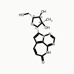 C[C@@]1(O)[C@H](O)[C@@H](CO)O[C@H]1c1cc2c3c(ncnn13)NC(=O)C=C2